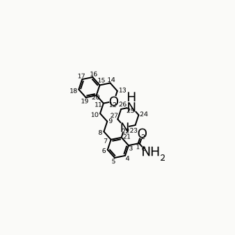 NC(=O)c1cccc(CCCC2OCCc3ccccc32)c1N1CCNCC1